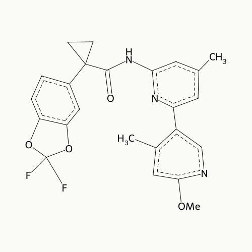 COc1cc(C)c(-c2cc(C)cc(NC(=O)C3(c4ccc5c(c4)OC(F)(F)O5)CC3)n2)cn1